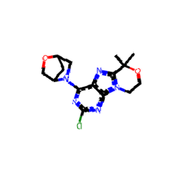 CC1(C)OCCn2c1nc1c(N3CC4CC3CO4)nc(Cl)nc12